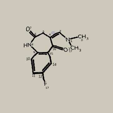 CN(C)/C=C1/CC(=O)Nc2ccc(F)cc2C1=O